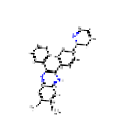 Cc1cc2nc(-c3ccccc3)c(-c3ccc(-c4ccccn4)cc3)nc2cc1C